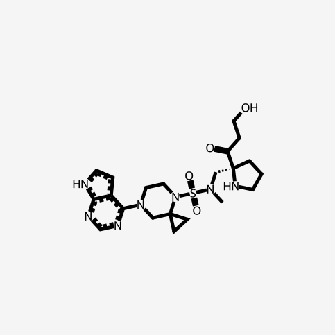 CN(C[C@]1(C(=O)CCO)CCCN1)S(=O)(=O)N1CCN(c2ncnc3[nH]ccc23)CC12CC2